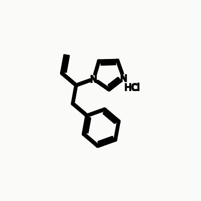 C=CC(Cc1ccccc1)n1ccnc1.Cl